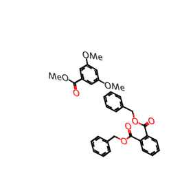 COC(=O)c1cc(OC)cc(OC)c1.O=C(OCc1ccccc1)c1ccccc1C(=O)OCc1ccccc1